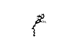 CCCCCC(C)CCc1cc(O)c2c(c1)OC(C)(C)C1=C2CCCS1